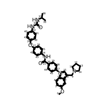 COc1ccc2c(c1)c(CN1CCCC1)cn2-c1ccc(C(=O)Nc2ccc(Oc3ccc(NC(=O)NC(C)C)cc3)cc2)cc1